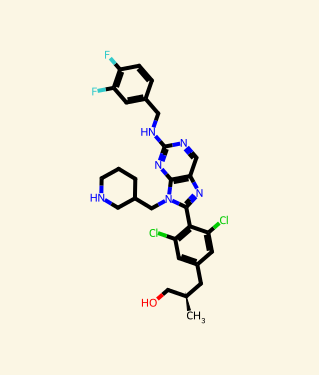 C[C@@H](CO)Cc1cc(Cl)c(-c2nc3cnc(NCc4ccc(F)c(F)c4)nc3n2CC2CCCNC2)c(Cl)c1